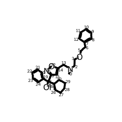 CN(CCOCCc1ccccc1)Cc1cc(C(O)(c2ccccc2)C2CCCCC2)no1